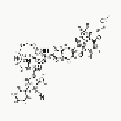 COCCOC(=O)[C@H](C)NP(=O)(OCC(F)(F)F)[C@@H](F)c1ccc2sc(C(=O)N[C@H]3CCCC[C@H]4CC[C@@H](C(=O)N5C[C@H](c6ccccc6)[C@@H](C#N)C56CC6)N4C3=O)cc2c1